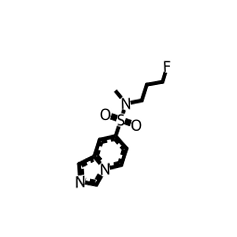 CN(CCCF)S(=O)(=O)c1ccn2cncc2c1